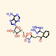 Nc1ncnc2c1ncn2[C@@H]1O[C@H](COS(=O)(=O)NC(=O)CCC(=O)c2ccccc2C2=NNNN2)[C@@H](O)[C@H]1O